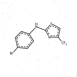 FC(F)(F)c1csc(Nc2ccc(Br)cc2)n1